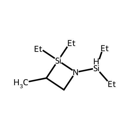 CC[SiH](CC)N1CC(C)[Si]1(CC)CC